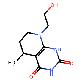 CC1CCN(CCO)c2[nH]c(=O)[nH]c(=O)c21